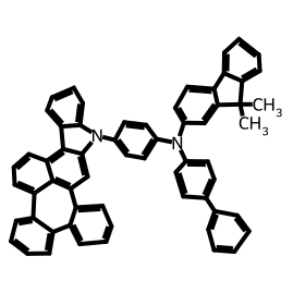 CC1(C)c2ccccc2-c2ccc(N(c3ccc(-c4ccccc4)cc3)c3ccc(-n4c5ccccc5c5c6cccc7c6c(cc54)-c4ccccc4-c4ccccc4-7)cc3)cc21